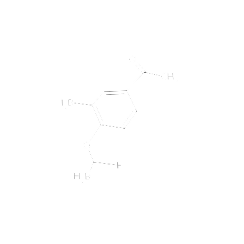 Bc1cc(C(C)=O)ccc1OC(B)F